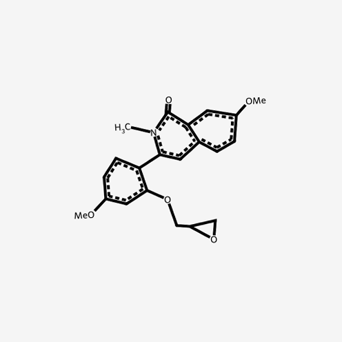 COc1ccc(-c2cc3ccc(OC)cc3c(=O)n2C)c(OCC2CO2)c1